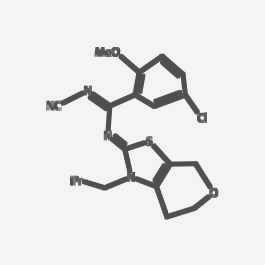 COc1ccc(Cl)cc1C(=N/C#N)/N=c1\sc2c(n1CC(C)C)CCOC2